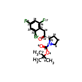 CC(C)(C)OC(=O)N1CCC[C@H]1C(=O)Cc1c(F)cc(F)cc1Br